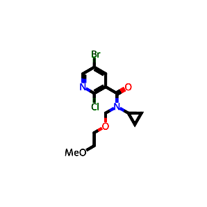 COCCOCN(C(=O)c1cc(Br)cnc1Cl)C1CC1